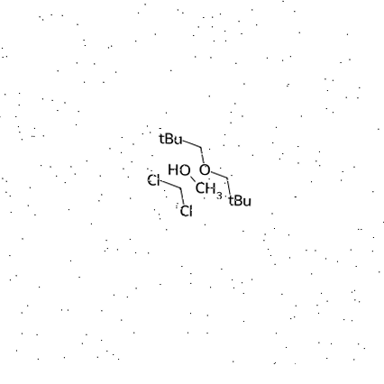 CC(C)(C)COCC(C)(C)C.CO.ClCCl